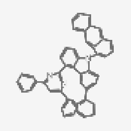 C1=CCCC(c2ccc3c(c2)c2c(-c4nc(-c5ccccc5)cc(-c5ccccc5)n4)cccc2n3-c2cccc3cc4ccccc4cc23)=C1